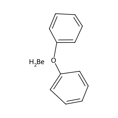 [BeH2].c1ccc(Oc2ccccc2)cc1